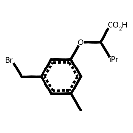 Cc1cc(CBr)cc(OC(C(=O)O)C(C)C)c1